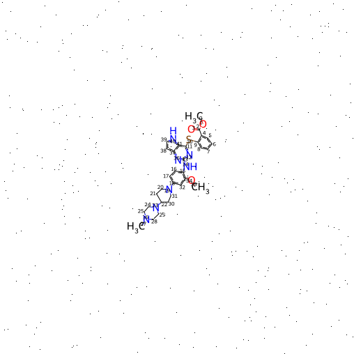 COC(=O)c1ccccc1Sc1nc(Nc2ccc(N3CCC(N4CCN(C)CC4)CC3)cc2OC)nc2cc[nH]c12